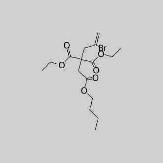 C=C(Br)CC(CC(=O)OCCCC)(C(=O)OCC)C(=O)OCC